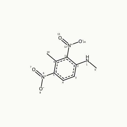 CNc1ccc([N+](=O)[O-])c(C)c1[N+](=O)[O-]